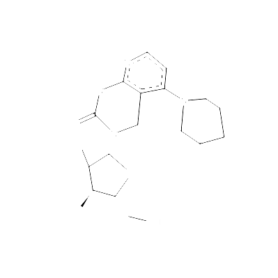 C[C@@]1(O)[C@H](O)[C@@H](CO)O[C@H]1N1Cc2c(N3CCCCC3)ccnc2NC1=O